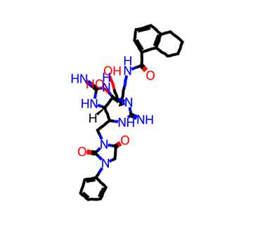 N=C1N[C@H]2C(CN3C(=O)CN(c4ccccc4)C3=O)NC(=N)N3CC(NC(=O)c4cccc5c4CCCC5)C(O)(O)[C@]23N1